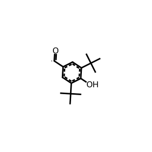 CC(C)(C)c1cc([C]=O)cc(C(C)(C)C)c1O